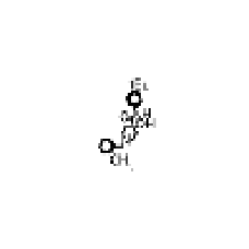 Cc1ccccc1CN1CCC(O)(C(=O)Nc2ccc(C(C)(C)C)cc2)CC1